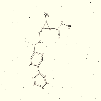 CC1C(COCc2ccc(-c3ccccc3)cc2)C1C(=O)OC(C)(C)C